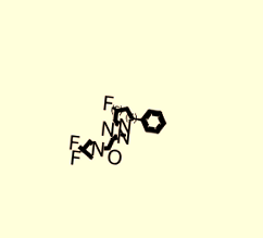 O=C(c1nc2n(n1)[C@H](c1ccccc1)C[C@@H]2F)N1CC(F)(F)C1